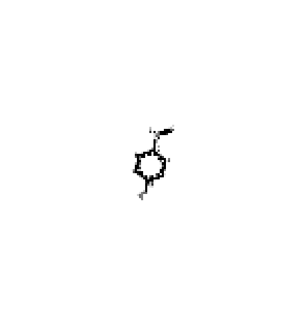 C=Nc1ccc(F)cc1